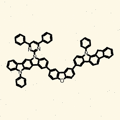 c1ccc(-c2cc(-c3ccccc3)nc(-n3c4ccc(-c5ccc6oc7ccc(-c8ccc9c(c8)c8ccc%10c(c8n9-c8ccccc8)Cc8ccccc8-%10)cc7c6c5)cc4c4cc5c(cc43)c3ccccc3n5-c3ccccc3)n2)cc1